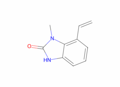 C=Cc1cccc2[nH]c(=O)n(C)c12